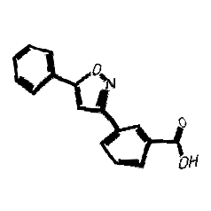 O=C(O)c1cccc(-c2cc(-c3ccccc3)on2)c1